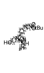 CC(C)(C)OC(=O)N1CCN(Cc2ccc(-c3cn([C@H]4CC[C@H](O)CC4)c4nc(NCC(F)F)ncc34)cc2)CC1